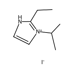 CCc1[nH]cc[n+]1C(C)C.[I-]